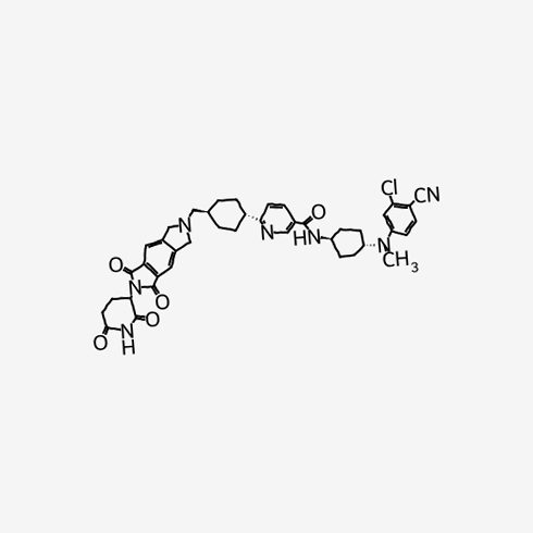 CN(c1ccc(C#N)c(Cl)c1)[C@H]1CC[C@H](NC(=O)c2ccc([C@H]3CC[C@H](CN4Cc5cc6c(cc5C4)C(=O)N(C4CCC(=O)NC4=O)C6=O)CC3)nc2)CC1